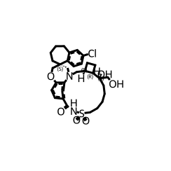 O=C1NS(=O)(=O)CCCCC[C@@](O)(CO)[C@@H]2CC[C@H]2CN2C[C@@]3(CCCCc4cc(Cl)ccc43)COc3ccc1cc32